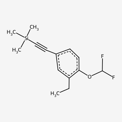 CCc1cc(C#C[Si](C)(C)C)ccc1OC(F)F